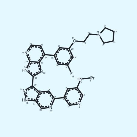 CC(C)Nc1cncc(-c2cc3c(-c4nc5c(-c6cc(F)cc(OCCN7CCCC7)c6)ccnc5[nH]4)n[nH]c3cn2)c1